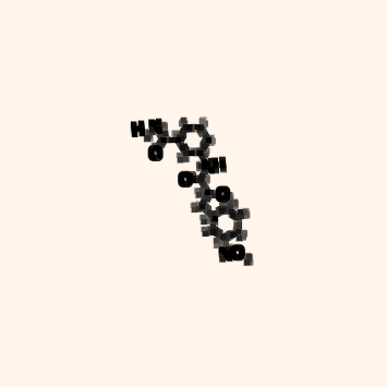 NC(=O)c1cccc(NC(=O)c2cc3cc([N+](=O)[O-])ccc3o2)c1